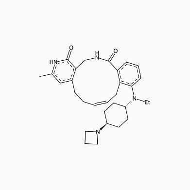 CCN(c1cccc2c1CC=CCCc1cc(C)[nH]c(=O)c1CNC2=O)[C@H]1CC[C@H](N2CCC2)CC1